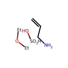 C=CCN.CCOCC.O=S(=O)(O)O